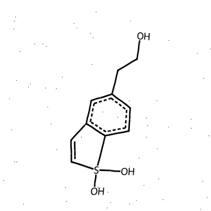 OCCc1ccc2c(c1)C=CS2(O)O